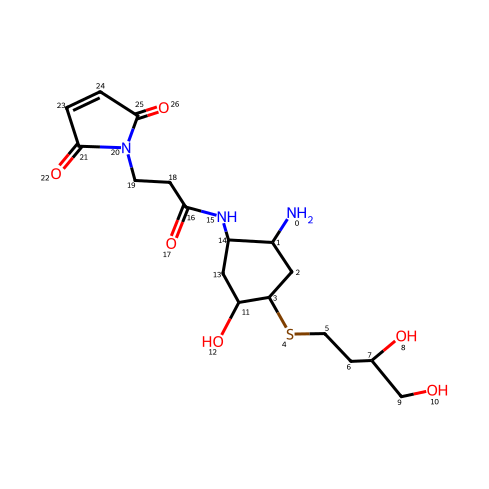 NC1CC(SCCC(O)CO)C(O)CC1NC(=O)CCN1C(=O)C=CC1=O